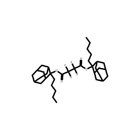 CCCCCC1(OC(=O)C(F)(F)C(F)(F)C(=O)OC2(CCCCC)C3CC4CC(C3)CC2C4)C2CC3CC(C2)CC1C3